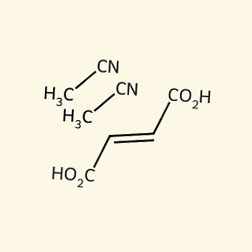 CC#N.CC#N.O=C(O)/C=C/C(=O)O